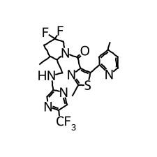 Cc1ccnc(-c2sc(C)nc2C(=O)N2CC(F)(F)CC(C)C2CNc2cnc(C(F)(F)F)cn2)c1